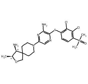 C[C@@H]1OCC2(CCN(c3cnc(Sc4ccc(P(C)(C)=O)c(Cl)c4Cl)c(N)n3)CC2)[C@@H]1N